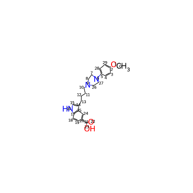 COc1ccc(N2CCN(CCCCc3c[nH]c4ccc(C(=O)O)cc34)CC2)cc1